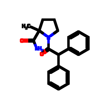 CC1(C(N)=O)CCCN1C(=O)C(c1ccccc1)c1ccccc1